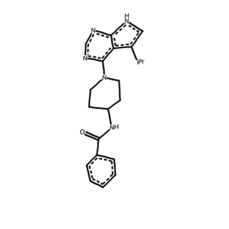 CC(C)c1c[nH]c2ncnc(N3CCC(NC(=O)c4ccccc4)CC3)c12